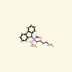 CCCCC[N+](C=O)(OC)C1c2ccccc2-c2ccccc21